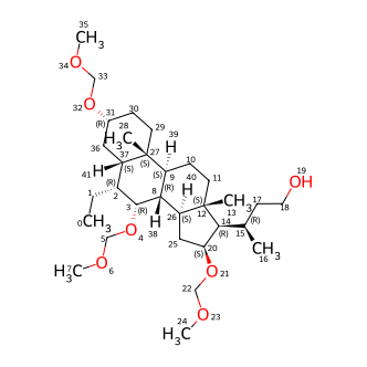 CC[C@H]1[C@@H](OCOC)[C@@H]2[C@H](CC[C@]3(C)[C@@H]([C@H](C)CCO)[C@@H](OCOC)C[C@@H]23)[C@@]2(C)CC[C@@H](OCOC)C[C@@H]12